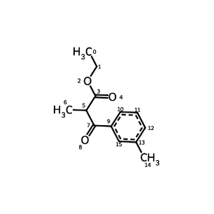 CCOC(=O)C(C)C(=O)c1cccc(C)c1